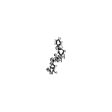 Cc1nn(C)c2sc(C(=O)NC(=S)Nc3cccc(Oc4ccccc4)c3)cc12